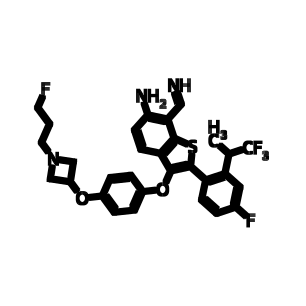 CC(c1cc(F)ccc1-c1sc2c(C=N)c(N)ccc2c1Oc1ccc(OC2CN(CCCF)C2)cc1)C(F)(F)F